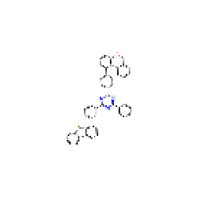 c1ccc(-c2nc(-c3ccc(-c4cccc5c4-c4ccccc4CO5)cc3)nc(-c3cccc(-c4cccc5c4sc4ccccc45)c3)n2)cc1